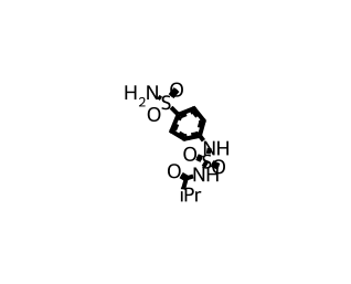 CC(C)C(=O)NS(=O)(=O)Nc1ccc(S(N)(=O)=O)cc1